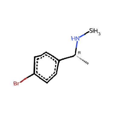 C[C@@H](N[SiH3])c1ccc(Br)cc1